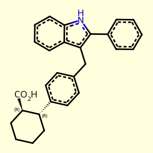 O=C(O)[C@@H]1CCCC[C@H]1c1ccc(Cc2c(-c3ccccc3)[nH]c3ccccc23)cc1